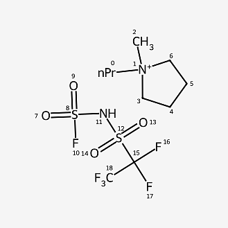 CCC[N+]1(C)CCCC1.O=S(=O)(F)NS(=O)(=O)C(F)(F)C(F)(F)F